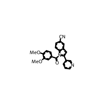 COc1ccc(C(=O)n2c(-c3cccnc3)cc3cc(C#N)ccc32)cc1OC